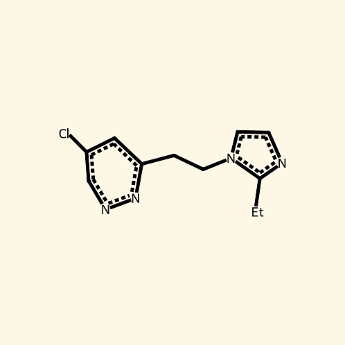 CCc1nccn1CCc1cc(Cl)cnn1